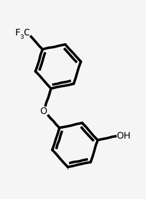 Oc1c[c]cc(Oc2cccc(C(F)(F)F)c2)c1